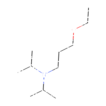 CCO[CH]CCN(C(C)C)C(C)C